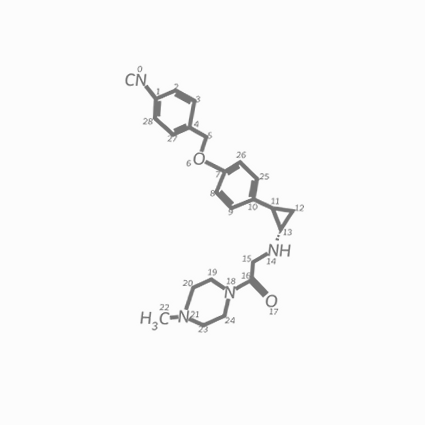 [C-]#[N+]c1ccc(COc2ccc(C3C[C@@H]3NCC(=O)N3CCN(C)CC3)cc2)cc1